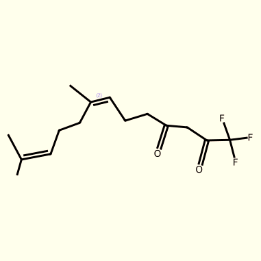 CC(C)=CCC/C(C)=C\CCC(=O)CC(=O)C(F)(F)F